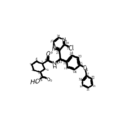 O=C(O)C1CCCC(C(=O)NC(c2ccc(Oc3ccccc3)cc2)c2nccnc2Cl)C1